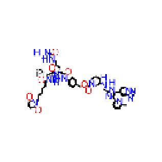 Cc1cccc(-c2nc(CNC3CCCN(C(=O)OCc4ccc(NC(=O)[C@H](CCCNC(N)=O)NC(=O)[C@@H](NC(=O)CCCCCN5C(=O)C=CC5=O)C(C)C)cc4)C3)[nH]c2-c2ccn3ncnc3c2)n1